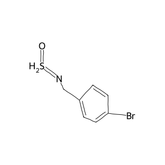 O=[SH2]=NCc1ccc(Br)cc1